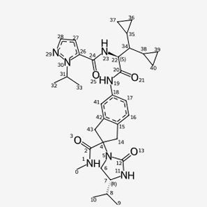 CNC(=O)C1(N2C[C@@H](C(C)C)NC2=O)Cc2ccc(NC(=O)[C@@H](NC(=O)c3ccnn3C(C)C)C(C3CC3)C3CC3)cc2C1